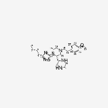 C1CNCCN1.CCCCc1nsc(N2CCN(CCc3ccc(OC)cc3)CC2)n1